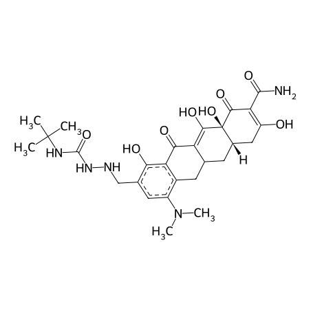 CN(C)c1cc(CNNC(=O)NC(C)(C)C)c(O)c2c1CC1C[C@H]3CC(O)=C(C(N)=O)C(=O)[C@@]3(O)C(O)=C1C2=O